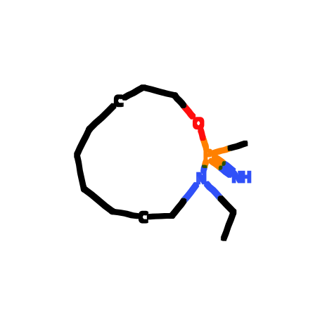 CCN1CCCCCCCCCOP1(C)=N